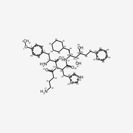 COc1ccc(CC(N)C(=O)N(C(=O)CCCN)C(Cc2c[nH]cn2)C(=O)N[C@@H](CC2CCCCC2)[C@@H](O)[C@@H](O)CCc2ccccn2)cc1